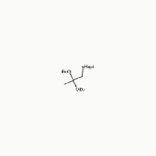 CCCCCCCCC(C)(OCC(C)C)OCC(C)C